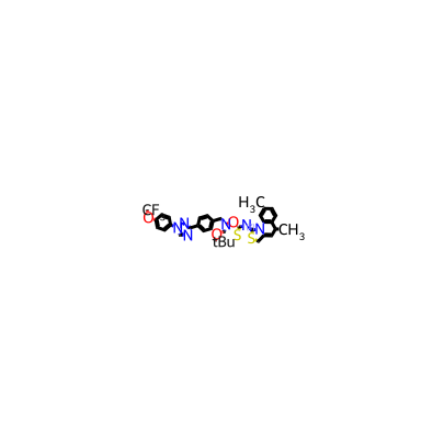 Cc1ccc2c(c1)N1C(=CC2C)CS/C1=N\C(=S)ON(COC(C)(C)C)Cc1ccc(-c2ncn(-c3ccc(OC(F)(F)F)cc3)n2)cc1